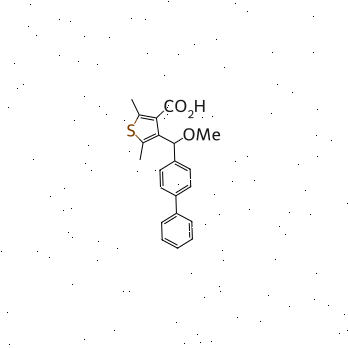 COC(c1ccc(-c2ccccc2)cc1)c1c(C)sc(C)c1C(=O)O